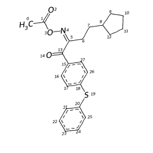 CC(=O)O/N=C(/CCC1CCCC1)C(=O)c1ccc(Sc2ccccc2)cc1